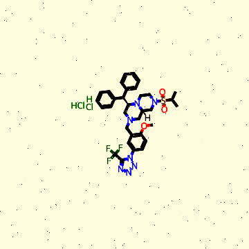 COc1ccc(-n2nnnc2C(F)(F)F)cc1CN1C[C@@H]2CN(S(=O)(=O)C(C)C)CCN2[C@H](C(c2ccccc2)c2ccccc2)C1.Cl.Cl